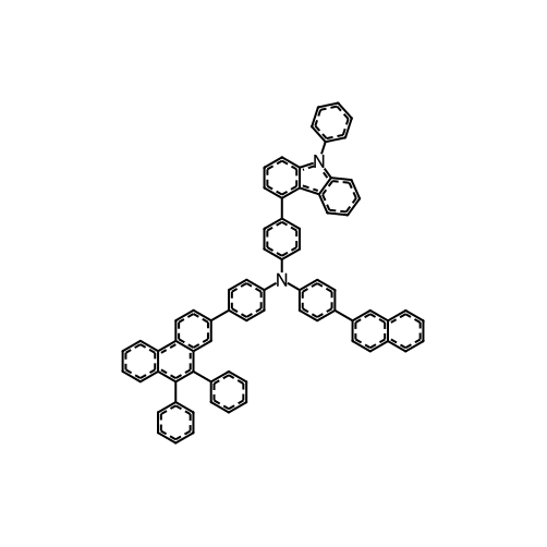 c1ccc(-c2c(-c3ccccc3)c3cc(-c4ccc(N(c5ccc(-c6ccc7ccccc7c6)cc5)c5ccc(-c6cccc7c6c6ccccc6n7-c6ccccc6)cc5)cc4)ccc3c3ccccc23)cc1